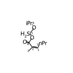 CCCC=C(C)C(=O)O[SiH2]OC(C)C